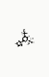 FC(F)(F)c1cc(-c2nc[c]o2)cc(C(F)(F)F)c1